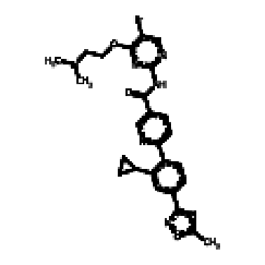 Cc1nc(-c2ccc(-c3ccc(C(=O)Nc4ncc(Br)c(OCCN(C)C)n4)cn3)c(C3CC3)c2)no1